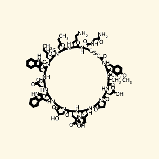 CCCC[C@H]1C(=O)N(C)[C@@H](CCCC)C(=O)N[C@@H](CCCN)C(=O)N[C@H](C(=O)NCC(N)=O)CSCC(=O)N[C@@H](Cc2ccc(OC)cc2)C(=O)N(C)[C@@H](C)C(=O)N[C@@H](CC(=O)O)C(=O)N2CCC[C@H]2C(=O)N[C@@H](Cc2cnc[nH]2)C(=O)N[C@@H](CCC(=O)O)C(=O)N2C[C@H](O)C[C@H]2C(=O)N[C@@H](Cc2c[nH]c3ccccc23)C(=O)N[C@@H](CC(=O)O)C(=O)N[C@@H](Cc2c[nH]c3ccccc23)C(=O)N1C